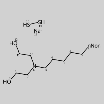 CCCCCCCCCCCCCCN(CCO)CCO.SS.[Na]